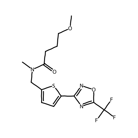 COCCCC(=O)N(C)Cc1ccc(-c2noc(C(F)(F)F)n2)s1